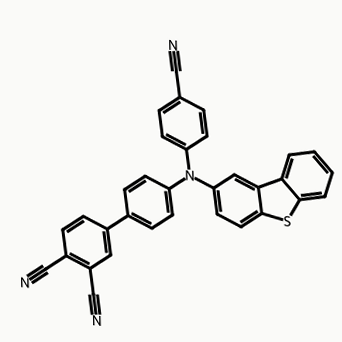 N#Cc1ccc(N(c2ccc(-c3ccc(C#N)c(C#N)c3)cc2)c2ccc3sc4ccccc4c3c2)cc1